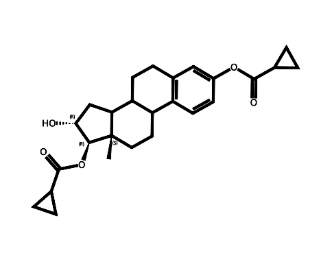 C[C@]12CCC3c4ccc(OC(=O)C5CC5)cc4CCC3C1C[C@@H](O)[C@@H]2OC(=O)C1CC1